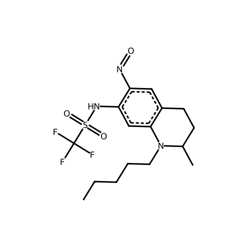 CCCCCN1c2cc(NS(=O)(=O)C(F)(F)F)c(N=O)cc2CCC1C